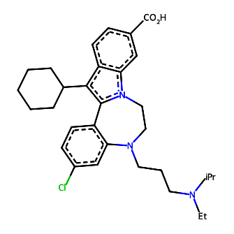 CCN(CCCN1CCn2c(c(C3CCCCC3)c3ccc(C(=O)O)cc32)-c2ccc(Cl)cc21)C(C)C